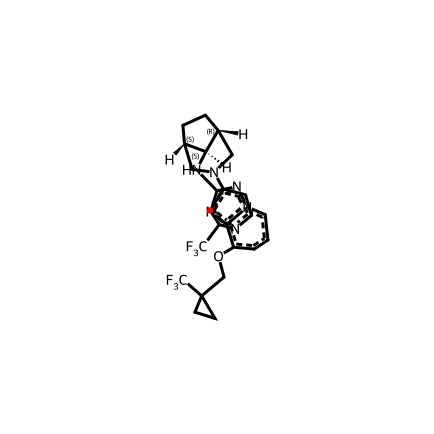 FC(F)(F)c1cc(N2C[C@H]3CC[C@@H](C2)[C@@H]3Nc2nc3c(OCC4(C(F)(F)F)CC4)cccn3n2)ccn1